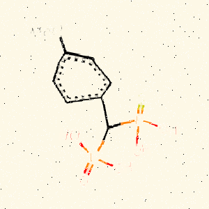 COc1ccc(C(P(=O)(O)O)P(O)(O)=S)cc1